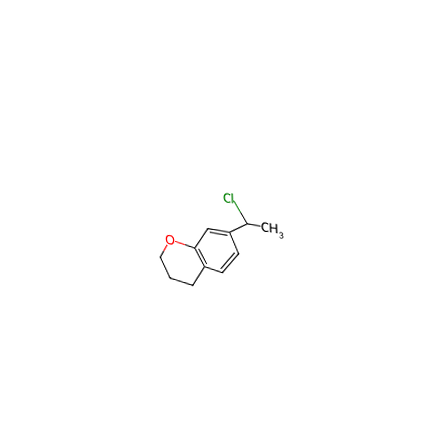 CC(Cl)c1ccc2c(c1)OCCC2